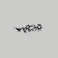 CC(Oc1ccc2c(nnn2CC2CC2)c1Br)c1ccccn1